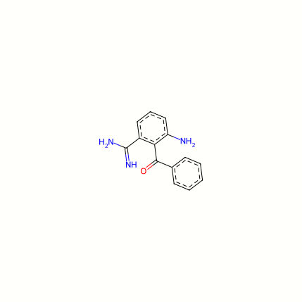 N=C(N)c1cccc(N)c1C(=O)c1ccccc1